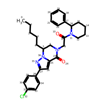 CCCCCC1CN(CC(=O)N2CCCCC2c2ccccc2)C(=O)c2cc(-c3ccc(Cl)cc3)nn21